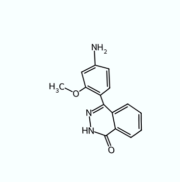 COc1cc(N)ccc1-c1n[nH]c(=O)c2ccccc12